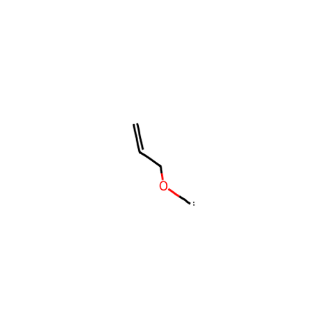 [CH]OCC=C